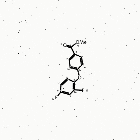 COC(=O)c1ccc(Oc2ccc(F)cc2F)cc1